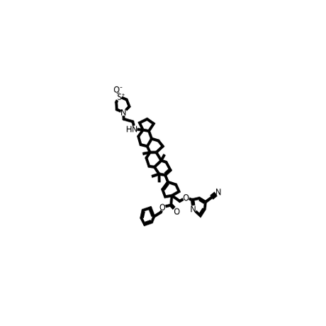 CC1(C)C(C2=CCC(COc3cc(C#N)ccn3)(C(=O)OCc3ccccc3)CC2)=CCC2(C)C1CCC1(C)C3CCC4(NCCN5CC[S+]([O-])CC5)CCCC4C3CCC12